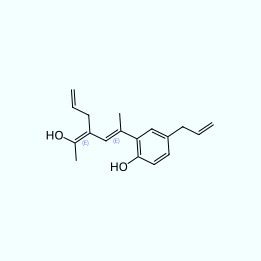 C=CCC(/C=C(\C)c1cc(CC=C)ccc1O)=C(/C)O